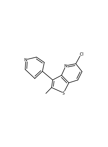 Cc1sc2ccc(Cl)nc2c1-c1ccncc1